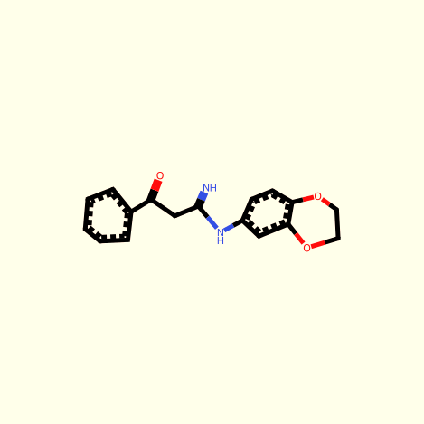 N=C(CC(=O)c1ccccc1)Nc1ccc2c(c1)OCCO2